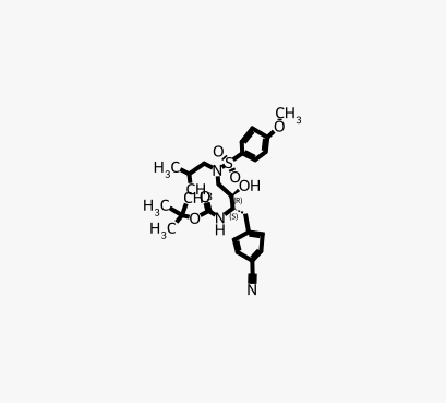 COc1ccc(S(=O)(=O)N(CC(C)C)C[C@@H](O)[C@H](Cc2ccc(C#N)cc2)NC(=O)OC(C)(C)C)cc1